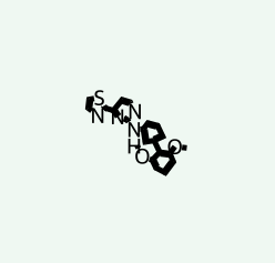 COc1cccc(OC)c1-c1cccc(Nc2nccc(-c3nccs3)n2)c1